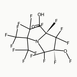 O=C(O)[C@@]1(F)N(C(C(F)(F)F)(C(F)(F)F)C(F)(F)F)C(F)(F)[C@](F)(OF)C1(F)F